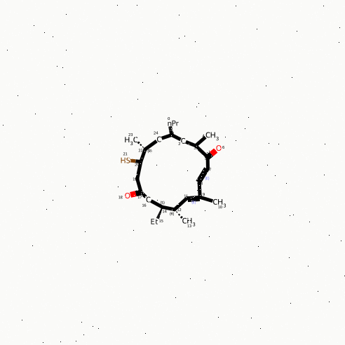 CCCC1CC(C)C(=O)/C=C/C(C)=C/[C@H](C)[C@@H](CC)CC(=O)CC(S)[C@H](C)C1